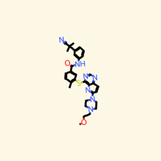 COCCN1CCN(c2ccc3ncnc(Sc4cc(C(=O)Nc5cccc(C(C)(C)C#N)c5)ccc4C)c3n2)CC1